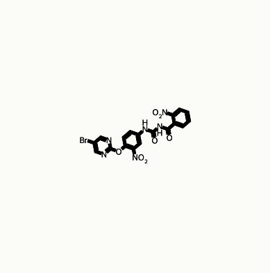 O=C(NC(=O)c1ccccc1[N+](=O)[O-])Nc1ccc(Oc2ncc(Br)cn2)c([N+](=O)[O-])c1